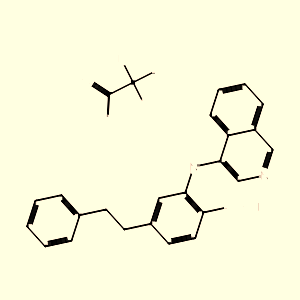 O=C(O)C(F)(F)F.O=C(O)c1ccc(CCc2ccccc2)cc1Nc1cncc2ccccc12